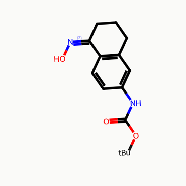 CC(C)(C)OC(=O)Nc1ccc2c(c1)CCC/C2=N/O